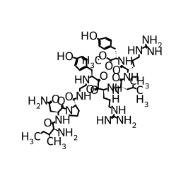 CC[C@H](C)[C@H](N)C(=O)N[C@@H](CC(N)=O)C(=O)N1CCC[C@H]1C(=O)NCC(=O)N[C@@H](Cc1ccc(O)cc1)C(=O)C(=O)[C@H](CCCNC(=N)N)NN[C@@H](CC(C)C)C(=O)N[C@@H](CCCNC(=N)N)C(=O)N[C@@H](Cc1ccc(O)cc1)C(=O)OC